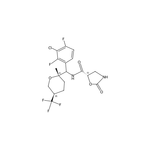 C[C@@]1(C(NC(=O)[C@@H]2CNC(=O)O2)c2ccc(F)c(Cl)c2F)CC[C@@H](C(F)(F)F)CO1